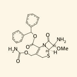 CO[C@@]1(N)C(=O)N2C(C(=O)OC(c3ccccc3)c3ccccc3)=C(COC(N)=O)CS[C@@H]21